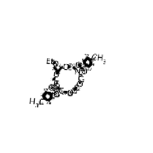 CCOCC1COCCN(S(=O)(=O)c2ccc(C)cc2)CCOCCOCCN(S(=O)(=O)c2ccc(C)cc2)CCO1